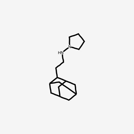 C1CCN(NCCC2C3CC4CC(C3)CC2C4)C1